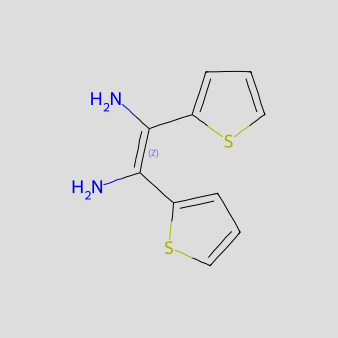 N/C(=C(\N)c1cccs1)c1cccs1